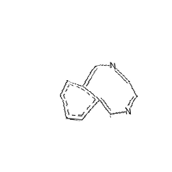 [C]1=c2ccccc2=CN=CC=N1